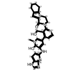 CN1C=C(c2ccnc(N3CCn4c(cc5c4CCCC5)C3=O)c2CO)C=C(Nc2ccc3[nH]cnc3n2)C1O